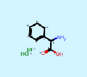 Cl.F.NC(C(=O)O)C1=CC=CCC1